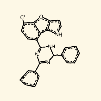 Clc1ccc(C2=NC(c3ccccc3)=NC(c3ccccc3)N2)c2c1oc1cc[nH]c12